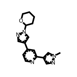 Cn1cc(-c2cc(-c3cnn(C4CCCCO4)c3)ccn2)cn1